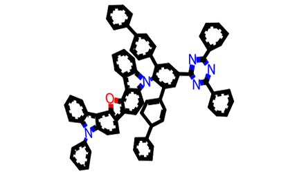 C1=CC(c2ccccc2)CC=C1c1cc(-c2nc(-c3ccccc3)nc(-c3ccccc3)n2)cc(-c2ccc(-c3ccccc3)cc2)c1-n1c2ccccc2c2c3oc4c(ccc5c4c4ccccc4n5-c4ccccc4)c3ccc21